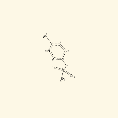 CC(C)c1ccc(CS(=O)(=O)C(C)C)cn1